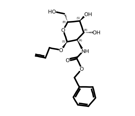 C=CCO[C@H]1O[C@H](CO)[C@@H](O)[C@H](O)[C@H]1NC(=O)OCc1ccccc1